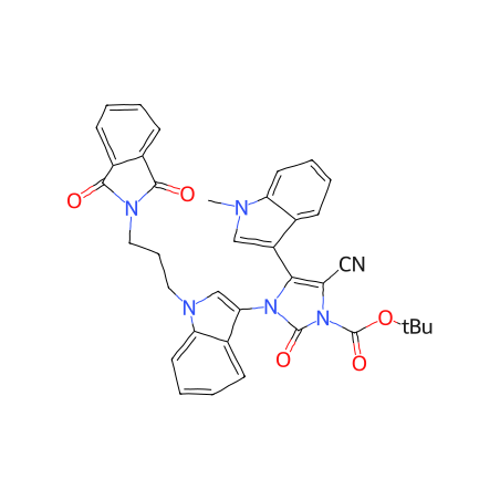 Cn1cc(-c2c(C#N)n(C(=O)OC(C)(C)C)c(=O)n2-c2cn(CCCN3C(=O)c4ccccc4C3=O)c3ccccc23)c2ccccc21